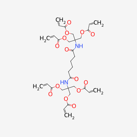 C=CC(=O)OCC(COC(=O)C=C)(COC(=O)C=C)NC(=O)CCCCC(=O)NC(COC(=O)C=C)(COC(=O)C=C)COC(=O)C=C